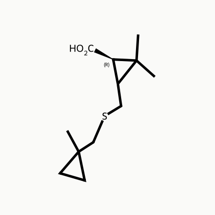 CC1(CSCC2[C@@H](C(=O)O)C2(C)C)CC1